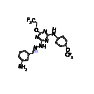 Bc1cccc(/C=N/Nc2nc(Nc3ccc(OC(F)(F)F)cc3)nc(OCC(F)(F)F)n2)c1